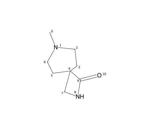 CN1CCC2(CC1)CNC2=O